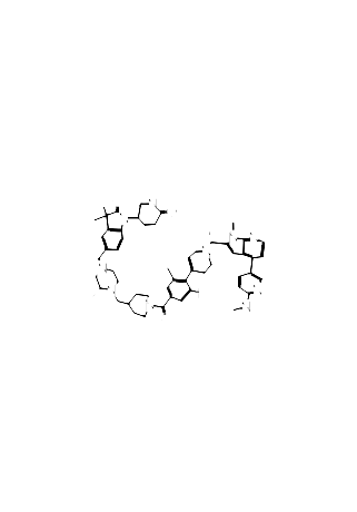 CNc1ccc(-c2ccnc3c2cc([C@H](C)N2CC=C(c4c(C)cc(C(=O)N5CCC(CN6CCN(Cc7ccc8c(c7)C(C)(C)C(=O)N8C7CCC(=O)NC7=O)C[C@@H]6C)CC5)cc4F)CC2)n3C)cn1